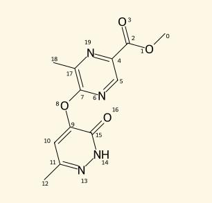 COC(=O)c1cnc(Oc2cc(C)n[nH]c2=O)c(C)n1